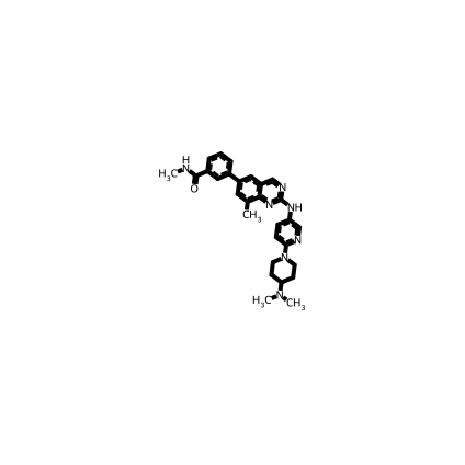 CNC(=O)c1cccc(-c2cc(C)c3nc(Nc4ccc(N5CCC(N(C)C)CC5)nc4)ncc3c2)c1